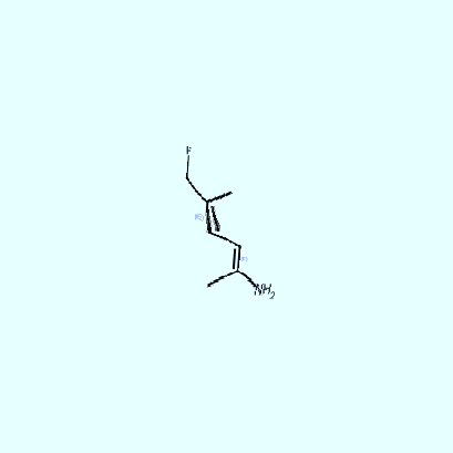 C/C(N)=C\C=C(/C)CF